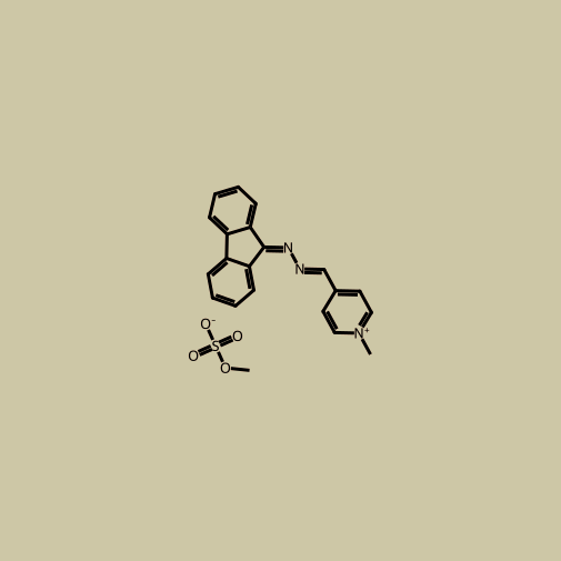 COS(=O)(=O)[O-].C[n+]1ccc(C=NN=C2c3ccccc3-c3ccccc32)cc1